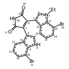 CCn1cc(C2=C(c3c[nH]c4c(Br)cccc34)C(=O)NC2=O)c2cccc(Br)c21